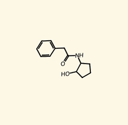 O=C(Cc1ccccc1)NC1CCCC1O